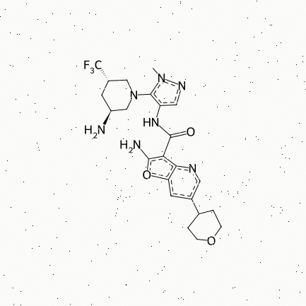 Cn1ncc(NC(=O)c2c(N)oc3cc(C4CCOCC4)cnc23)c1N1C[C@@H](N)C[C@H](C(F)(F)F)C1